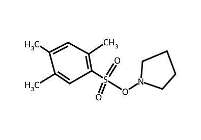 Cc1cc(C)c(S(=O)(=O)ON2CCCC2)cc1C